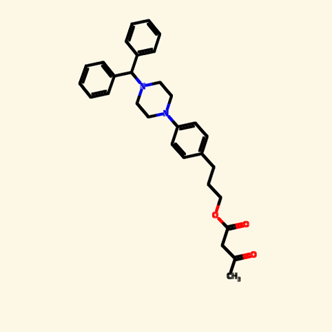 CC(=O)CC(=O)OCCCc1ccc(N2CCN(C(c3ccccc3)c3ccccc3)CC2)cc1